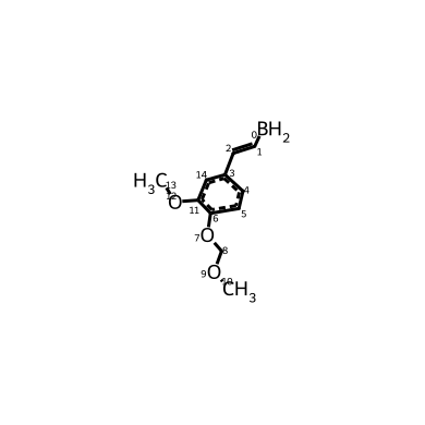 B/C=C/c1ccc(OCOC)c(OC)c1